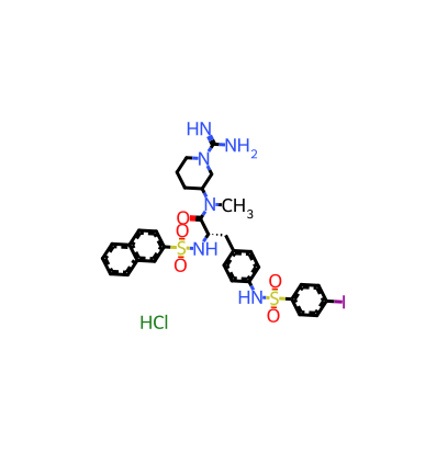 CN(C(=O)[C@H](Cc1ccc(NS(=O)(=O)c2ccc(I)cc2)cc1)NS(=O)(=O)c1ccc2ccccc2c1)C1CCCN(C(=N)N)C1.Cl